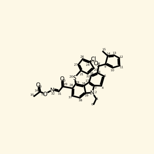 CCn1c2ccc(C(=O)c3ccccc3C)cc2c2c(Sc3ccc(Cl)cc3)c(C(=O)C=NOC(C)=O)ccc21